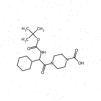 CC(C)(C)OC(=O)NC(C(=O)N1CCN(C(=O)O)CC1)C1CCCCC1